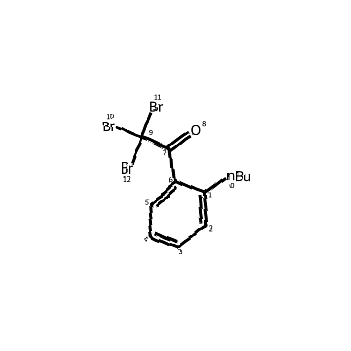 CCCCc1ccccc1C(=O)C(Br)(Br)Br